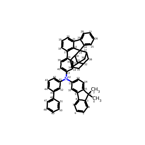 CC1(C)c2ccccc2-c2cc(N(c3ccc(-c4cccc5c4C4(c6ccccc6-5)C5CC6CC(C5)CC4C6)cc3)c3cccc(-c4ccccc4)c3)ccc21